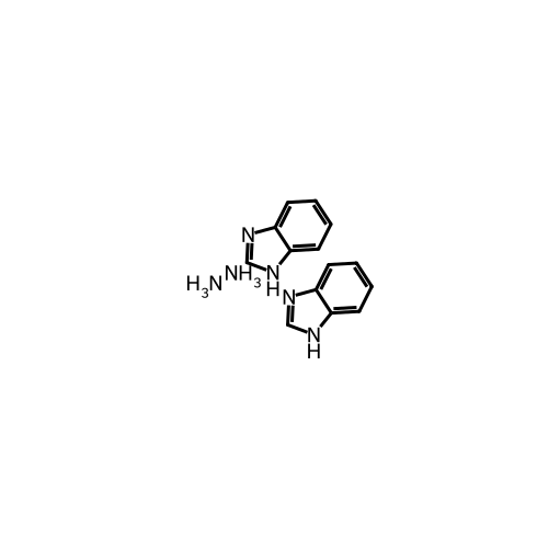 N.N.c1ccc2[nH]cnc2c1.c1ccc2[nH]cnc2c1